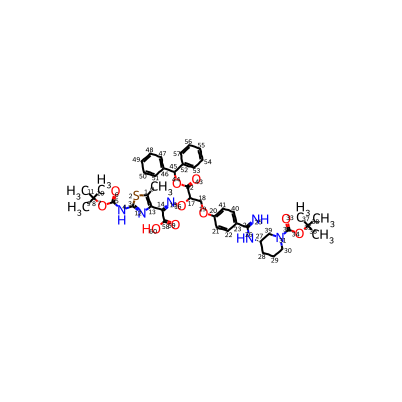 Cc1sc(NC(=O)OC(C)(C)C)nc1/C(=N/OC(COc1ccc(C(=N)N[C@H]2CCCN(C(=O)OC(C)(C)C)C2)cc1)C(=O)OC(c1ccccc1)c1ccccc1)C(=O)O